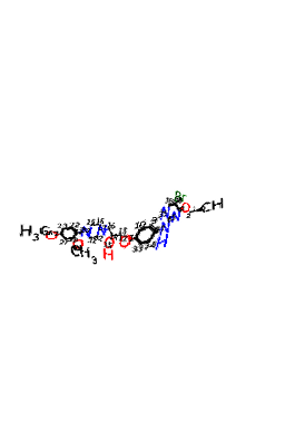 C#CCOc1nc(Nc2ccc(OCC(O)CN3CCN(c4ccc(OC)cc4OC)CC3)cc2)ncc1Br